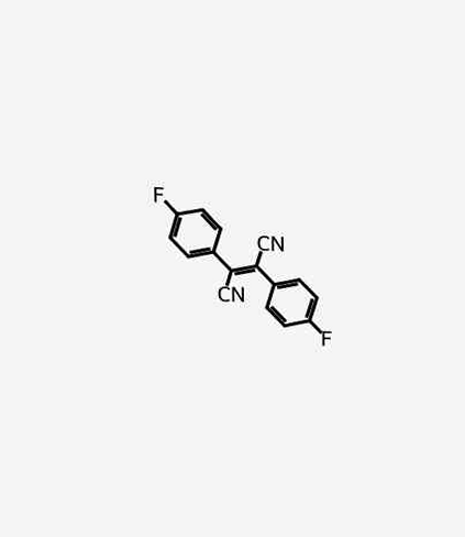 N#C/C(=C(/C#N)c1ccc(F)cc1)c1ccc(F)cc1